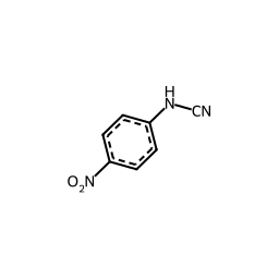 N#CNc1ccc([N+](=O)[O-])cc1